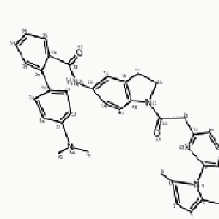 Cc1ccc(C)n1-c1cccc(CC(=O)N2CCc3cc(NC(=O)c4ccccc4-c4ccc(N(C)C)cc4)ccc32)n1